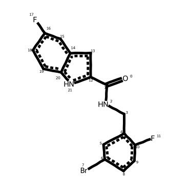 O=C(NCc1cc(Br)ccc1F)c1cc2cc(F)ccc2[nH]1